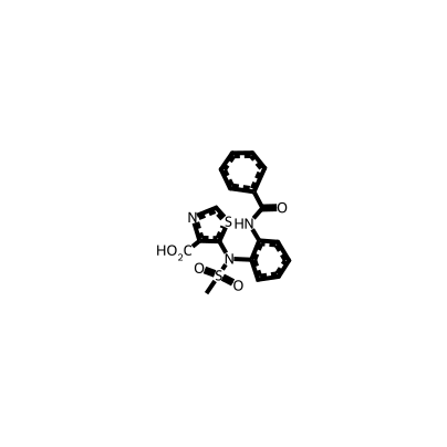 CS(=O)(=O)N(c1ccccc1NC(=O)c1ccccc1)c1scnc1C(=O)O